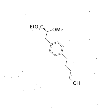 CCOC(=O)[C@H](Cc1ccc(CCCCO)cc1)OC